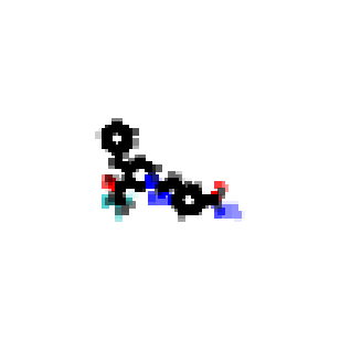 NC(=O)c1ccc2[nH]c(N3CCC(Cc4ccccc4)C(C(=O)C(F)(F)F)C3)cc2c1